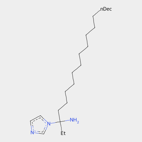 CCCCCCCCCCCCCCCCCCCCCC(N)(CC)n1ccnc1